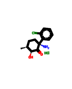 C[C@@H]1CC[C@@](N)(c2ccccc2Cl)C(=O)[C@@H]1O.Cl